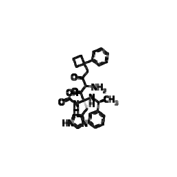 C[C@H](N[C@@](Cc1c[nH]cn1)(NC(=O)O)C(=O)C(N)C(=O)CC1(c2ccccc2)CCC1)c1ccccc1